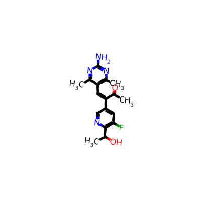 CC(=O)/C(=C\c1c(C)nc(N)nc1C)c1cnc(C(C)O)c(F)c1